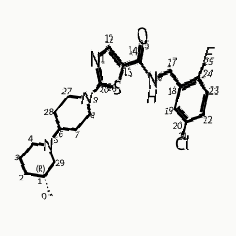 C[C@@H]1CCCN(C2CCN(c3ncc(C(=O)NCc4cc(Cl)ccc4F)s3)CC2)C1